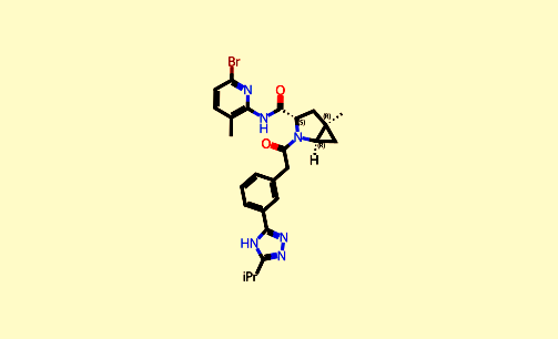 Cc1ccc(Br)nc1NC(=O)[C@@H]1C[C@@]2(C)C[C@H]2N1C(=O)Cc1cccc(-c2nnc(C(C)C)[nH]2)c1